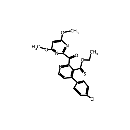 CCOC(=S)c1c(-c2ccc(Cl)cc2)ccnc1C(=O)c1nc(OC)cc(OC)n1